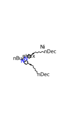 CCCCCCCCCCCCCCCCC#Cc1ccc(N=C(CCCC)C(CCCCCC)=Nc2ccc(C#CCCCCCCCCCCCCCCCC)cc2)cc1.[Ni]